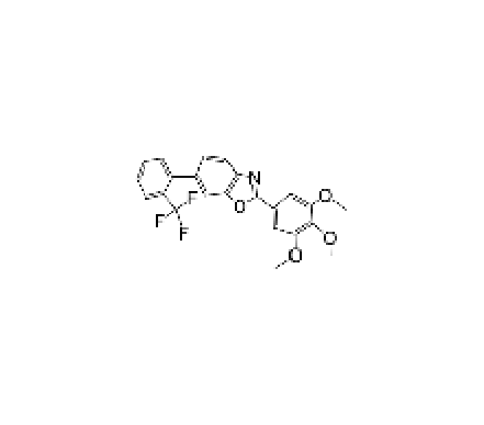 COc1cc(-c2nc3ccc(-c4ccccc4C(F)(F)F)cc3o2)cc(OC)c1OC